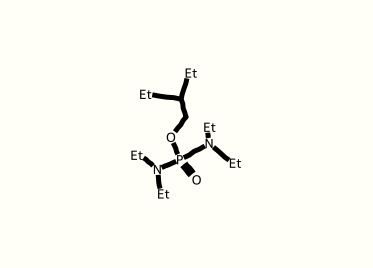 CCC(CC)COP(=O)(N(CC)CC)N(CC)CC